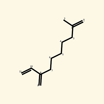 [CH]=C(C)CCCCCC(=C)C=C